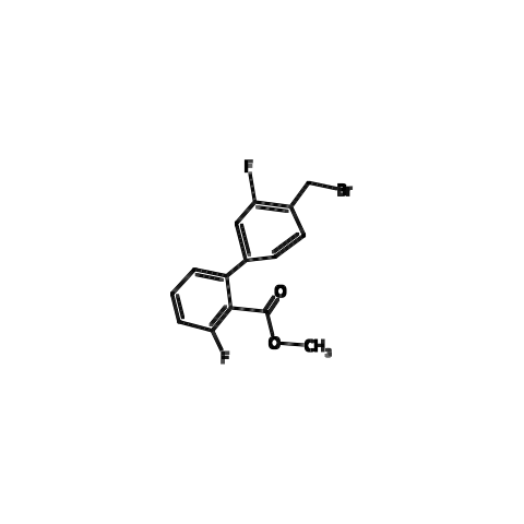 COC(=O)c1c(F)cccc1-c1ccc(CBr)c(F)c1